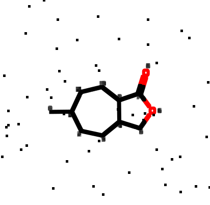 CC1CCC2COC(=O)C2CC1